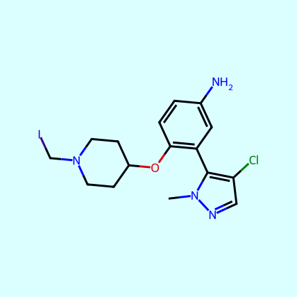 Cn1ncc(Cl)c1-c1cc(N)ccc1OC1CCN(CI)CC1